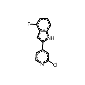 Fc1cccc2[nH]c(-c3[c]cnc(Cl)c3)cc12